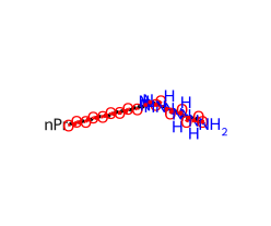 CCCOCCOCCOCCOCCOCCOCCOCCOCCOCCn1cc(COC(=O)NCCNC(=O)CNC(=O)CNC(=O)CNC(=O)CON)nn1